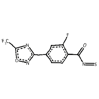 O=C(N=S)c1ccc(-c2noc(C(F)(F)F)n2)cc1F